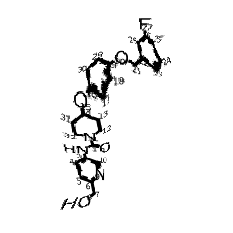 O=C(Nc1ccc(CO)nc1)N1CCC(Oc2ccc(OCc3cccc(F)c3)cc2)CC1